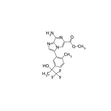 COC(=O)c1cn2c(-c3cc(C(C)(O)C(F)(F)F)ccc3C)cnc2c(N)n1